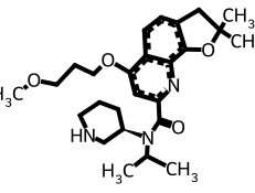 COCCCOc1cc(C(=O)N(C(C)C)[C@@H]2CCCNC2)nc2c3c(ccc12)CC(C)(C)O3